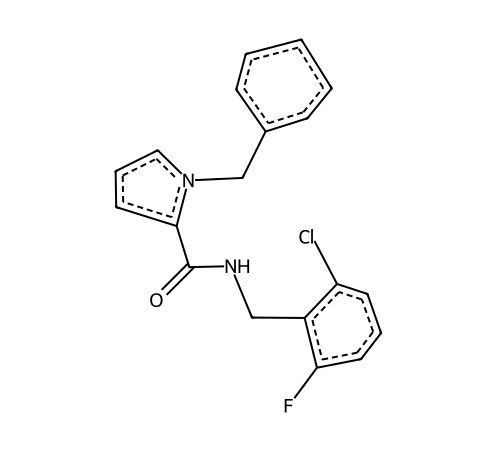 O=C(NCc1c(F)cccc1Cl)c1cccn1Cc1ccccc1